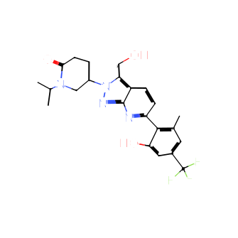 Cc1cc(C(F)(F)F)cc(O)c1-c1ccc2c([C@H](C)O)n(C3CCC(=O)N(C(C)C)C3)nc2n1